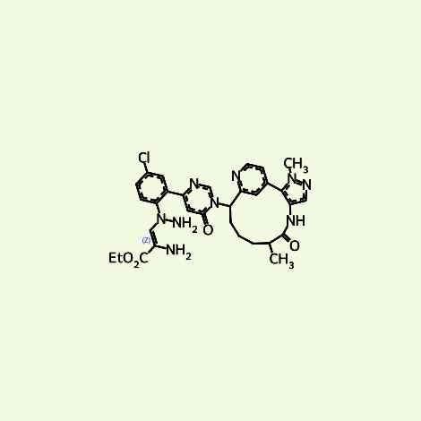 CCOC(=O)/C(N)=C/N(N)c1ccc(Cl)cc1-c1cc(=O)n(C2CCCC(C)C(=O)Nc3cnn(C)c3-c3ccnc2c3)cn1